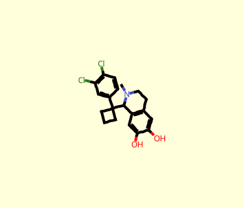 CN1CCc2cc(O)c(O)cc2C1C1(c2ccc(Cl)c(Cl)c2)CCC1